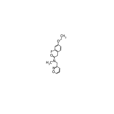 CCOc1ccc(CC(=O)N(C)CC2=NOC=C=C2)c(F)c1